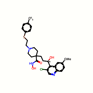 COc1ccc2ncc(Cl)c([C@H](O)CCC3(C(=O)NO)CCN(CCSc4ccc(C(F)(F)F)cc4)CC3)c2c1